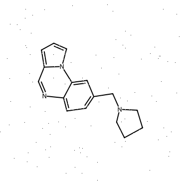 c1cc2cnc3ccc(CN4CCCC4)cc3n2c1